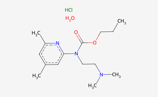 CCCOC(=O)N(CCN(C)C)c1cc(C)cc(C)n1.Cl.O